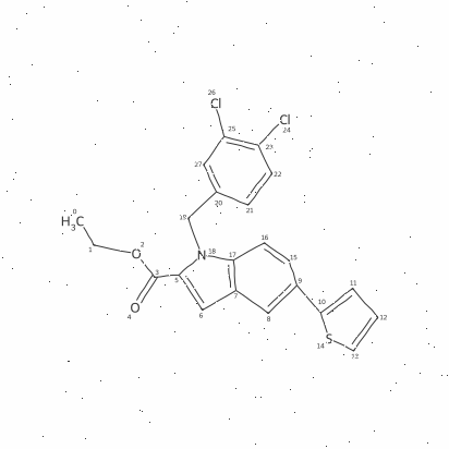 CCOC(=O)c1cc2cc(-c3cccs3)ccc2n1Cc1ccc(Cl)c(Cl)c1